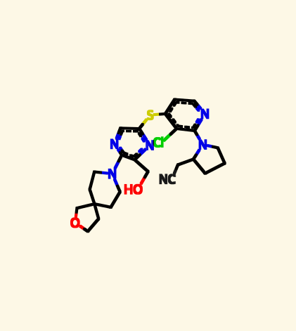 N#CCC1CCCN1c1nccc(Sc2cnc(N3CCC4(CCOC4)CC3)c(CO)n2)c1Cl